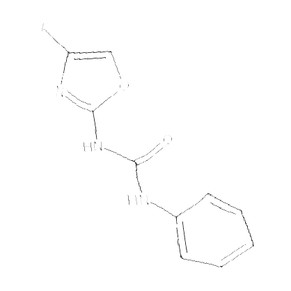 O=C(Nc1ccccc1)Nc1nc(I)co1